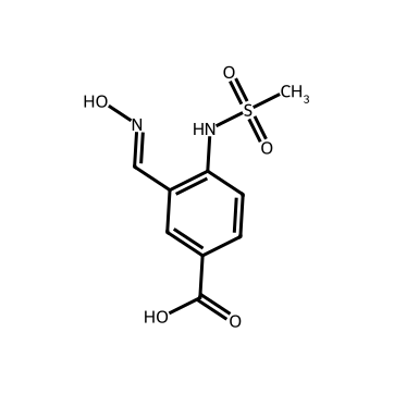 CS(=O)(=O)Nc1ccc(C(=O)O)cc1C=NO